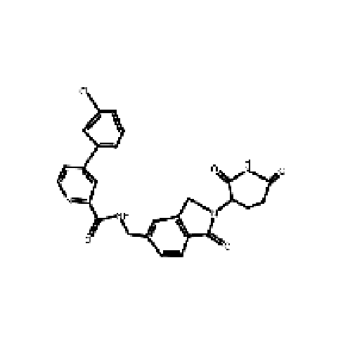 O=C1CCC(N2Cc3cc(CNC(=O)c4cc(-c5cccc(Cl)c5)ccn4)ccc3C2=O)C(=O)N1